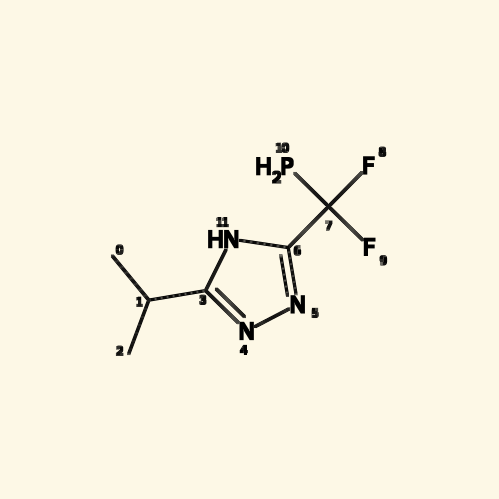 CC(C)c1nnc(C(F)(F)P)[nH]1